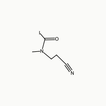 CN(CCC#N)C(=O)I